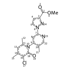 COC(=O)c1ccn(-c2cc(-n3c(C)cc(C)c(Cl)c3=O)c(C)cn2)n1